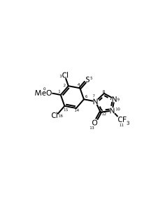 COC1=C(Cl)C(=S)C(n2cnn(C(F)(F)F)c2=O)C=C1Cl